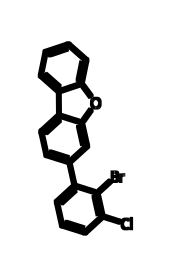 Clc1cccc(-c2ccc3c(c2)oc2ccccc23)c1Br